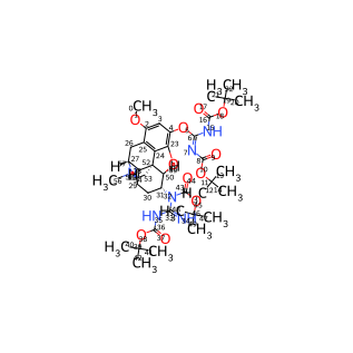 COc1cc(OC(=NC(=O)OC(C)(C)C)NC(=O)OC(C)(C)C)c2c3c1C[C@@H]1[C@@H]4CC[C@@H](N(C(=N)NC(=O)OC(C)(C)C)C(=O)OC(C)(C)C)[C@H](O2)[C@]34CCN1C